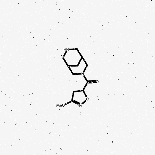 COC1=NOC(C(=O)N2CC3CNCC(C3)C2)C1